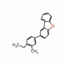 CCc1ccc(-c2ccc3oc4ccccc4c3c2)cc1C